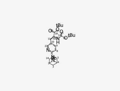 CC(=O)N1C2CC1CN(c1ccc(C[C@H](NC(=O)OC(C)(C)C)C(=O)OC(C)(C)C)cn1)C2